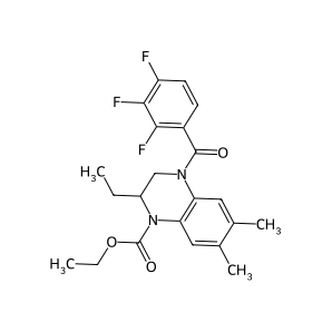 CCOC(=O)N1c2cc(C)c(C)cc2N(C(=O)c2ccc(F)c(F)c2F)CC1CC